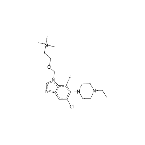 CCN1CCN(c2c(Cl)cc3ncn(COCC[Si](C)(C)C)c3c2F)CC1